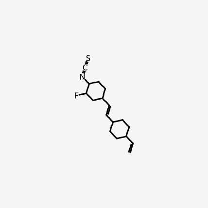 C=CC1CCC(C=CC2CCC(N=C=S)C(F)C2)CC1